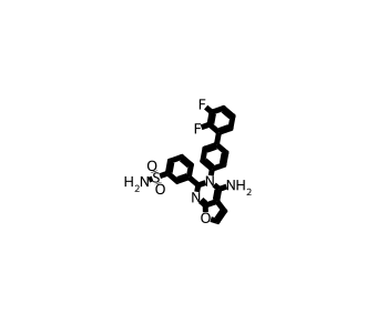 NC1=c2ccoc2=NC(c2cccc(S(N)(=O)=O)c2)N1c1ccc(-c2cccc(F)c2F)cc1